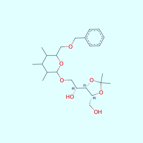 CC1C(COCc2ccccc2)OC(OC[C@@H](O)[C@@H]2OC(C)(C)O[C@@H]2CO)C(C)C1C